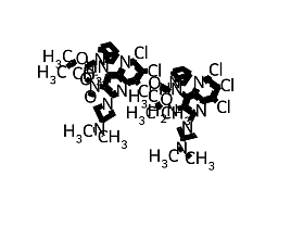 CN(C)C1CN(c2nc3c(Cl)c(Cl)c(Cl)nc3c(NC3C4CC3N(C(=O)OC(C)(C)C)C4)c2N)C1.CN(C)C1CN(c2nc3c(Cl)c(Cl)c(Cl)nc3c(NC3C4CC3N(C(=O)OC(C)(C)C)C4)c2[N+](=O)[O-])C1